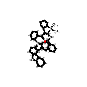 C[Si]1(C)c2ccccc2-c2c(-c3ccccc3-n3c4ccccc4c4c5c(ccc43)oc3ccccc35)nc(-c3ccccc3)nc21